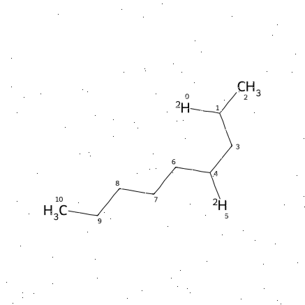 [2H]C(C)CC([2H])CCCCC